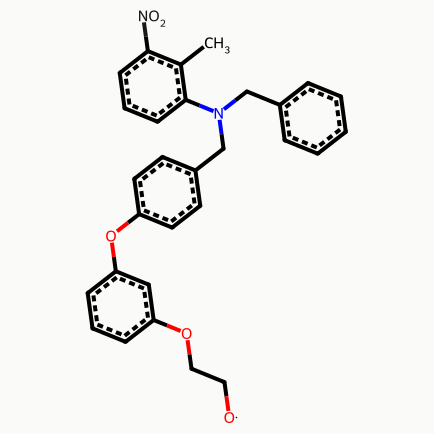 Cc1c(N(Cc2ccccc2)Cc2ccc(Oc3cccc(OCC[O])c3)cc2)cccc1[N+](=O)[O-]